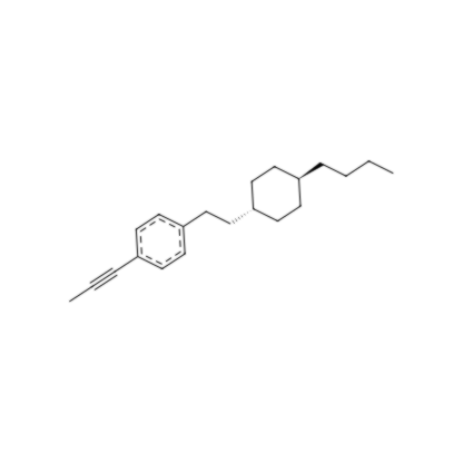 CC#Cc1ccc(CC[C@H]2CC[C@H](CCCC)CC2)cc1